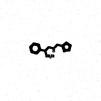 CCOC(=O)C(CNCc1ccco1)c1ccccc1